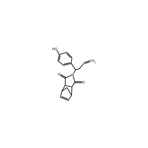 C=CCC(c1ccc(O)cc1)N1C(=O)C2C3C=CC(C3)C2C1=O